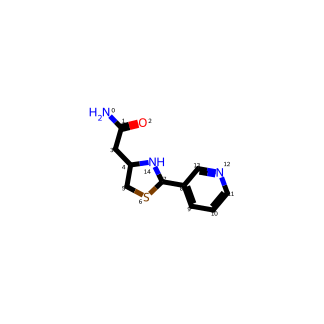 NC(=O)CC1CSC(c2cccnc2)N1